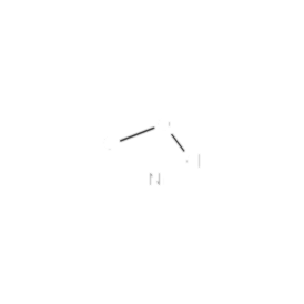 ClOCl.[Ni]